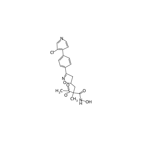 CC(CC1CC(c2ccc(-c3ccncc3Cl)cc2)=NO1)(C(=O)NO)S(C)(=O)=O